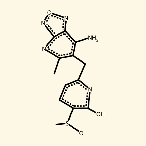 Cc1nc2nonc2c(N)c1Cc1ccc([S+](C)[O-])c(O)n1